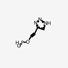 O=[PH2]OC#Cc1c[nH]nn1